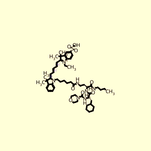 CCCCNC(=O)[C@H](CCNC(=O)CCCCCN1\C(=C/C=C/C=C/C2=[N+](CC)c3ccc(S(=O)(=O)O)cc3C2(C)C)C(C)(C)c2ccccc21)NC(=O)[C@H](CC1CCCCC1)NC(=O)N1CCOCC1